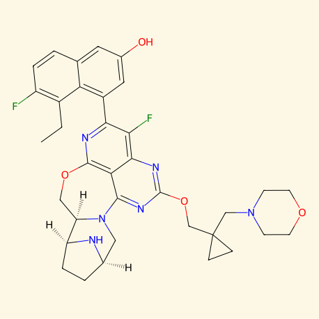 CCc1c(F)ccc2cc(O)cc(-c3nc4c5c(nc(OCC6(CN7CCOCC7)CC6)nc5c3F)N3C[C@H]5CC[C@H](N5)[C@H]3CO4)c12